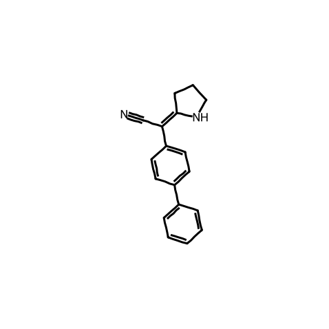 N#CC(=C1CCCN1)c1ccc(-c2ccccc2)cc1